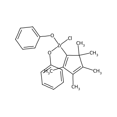 CC1=C(C)C(C)(C)[C]([Zr]([Cl])([O]c2ccccc2)[O]c2ccccc2)=C1C